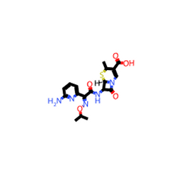 CC(C)ON=C(C(=O)NC1C(=O)N2C=C(C(=O)O)C(C)S[C@H]12)c1cccc(N)n1